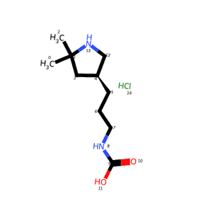 CC1(C)C[C@H](CCCNC(=O)O)CN1.Cl